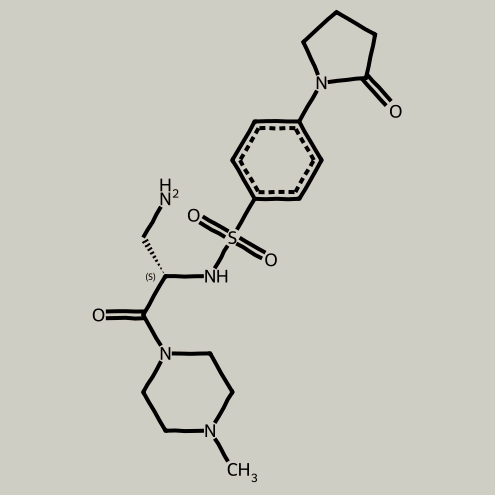 CN1CCN(C(=O)[C@H](CN)NS(=O)(=O)c2ccc(N3CCCC3=O)cc2)CC1